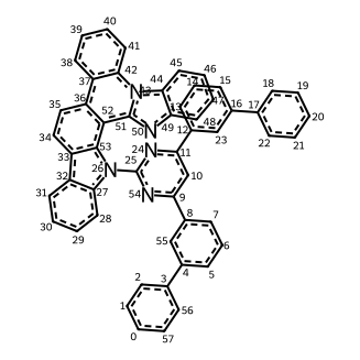 c1ccc(-c2cccc(-c3cc(-c4cccc(-c5ccccc5)c4)nc(-n4c5ccccc5c5ccc6c7ccccc7n7c8ccccc8nc7c6c54)n3)c2)cc1